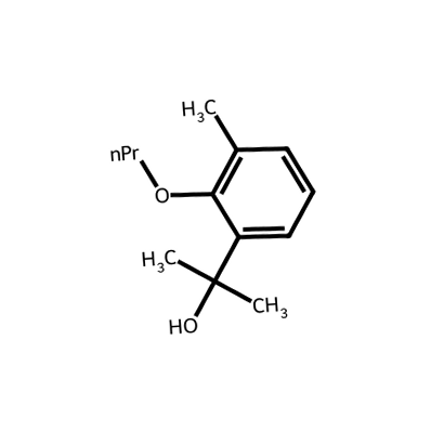 CCCOc1c(C)cccc1C(C)(C)O